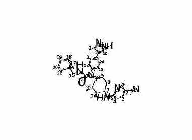 N#Cc1ccc(N[C@H]2CC[C@H](N(C(=O)NCc3ccccc3)c3ccc(-c4cn[nH]c4)cc3)CC2)nc1